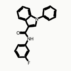 O=C(Nc1cccc(F)c1)c1cn(-c2ccccc2)c2ccccc12